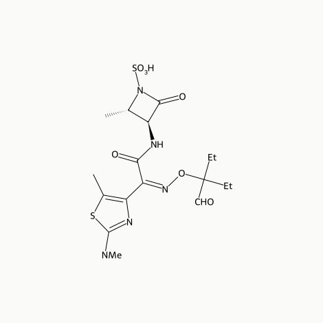 CCC(C=O)(CC)O/N=C(\C(=O)N[C@@H]1C(=O)N(S(=O)(=O)O)[C@H]1C)c1nc(NC)sc1C